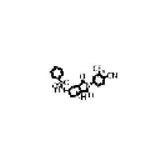 C[C@]12C[C@@H](NS(=O)(=O)c3ccccc3)[C@](C)(O1)C1C(=O)N(c3ccc(C#N)c(C(F)(F)F)c3)C(=O)[C@H]12